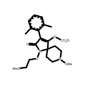 CCOC(=O)OC1=C(c2c(C)cccc2C)C(=O)N(OCCOC)C12CCN(OC)CC2